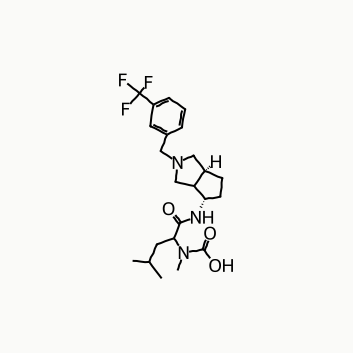 CC(C)CC(C(=O)N[C@H]1CC[C@@H]2CN(Cc3cccc(C(F)(F)F)c3)CC21)N(C)C(=O)O